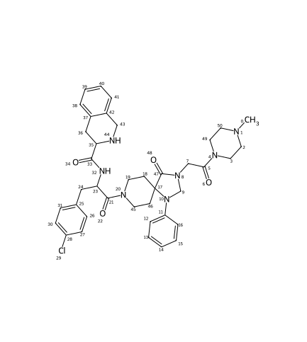 CN1CCN(C(=O)CN2CN(c3ccccc3)C3(CCN(C(=O)C(Cc4ccc(Cl)cc4)NC(=O)C4Cc5ccccc5CN4)CC3)C2=O)CC1